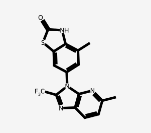 Cc1ccc2nc(C(F)(F)F)n(-c3cc(C)c4[nH]c(=O)sc4c3)c2n1